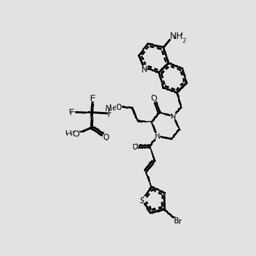 COCC[C@H]1C(=O)N(Cc2ccc3c(N)ccnc3c2)CCN1C(=O)C=Cc1cc(Br)cs1.O=C(O)C(F)(F)F